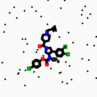 CN(C(=O)Oc1ccc(Cl)cc1)C1CN(C(=O)C2CCN(CC3CC3)CC2)CC1c1ccc(Cl)c(Cl)c1